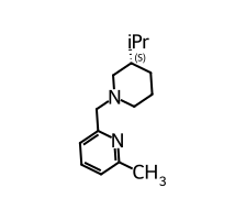 Cc1cccc(CN2CCC[C@@H](C(C)C)C2)n1